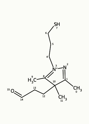 CC1=N[N+](CCCS)=C(C)C1(C)CCC=O